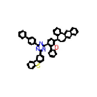 c1ccc(-c2ccc(-c3nc(-c4ccc5sc6ccccc6c5c4)nc(-c4ccc(C5CCc6cc7ccccc7cc6-c6ccccc65)c5oc6ccccc6c45)n3)cc2)cc1